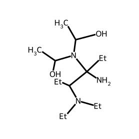 CCC(N(CC)CC)C(N)(CC)N(C(C)O)C(C)O